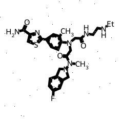 CCNCCNC(=O)CN(CC(=O)N(C)N1Cc2ccc(F)cc2C1)c1ccc(-c2nc(C(N)=O)cs2)cc1C